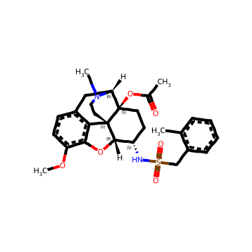 COc1ccc2c3c1O[C@H]1[C@@H](NS(=O)(=O)Cc4ccccc4C)CC[C@@]4(OC(C)=O)[C@@H](C2)N(C)CC[C@]314